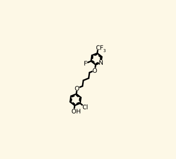 Oc1ccc(OCCCCOc2ncc(C(F)(F)F)cc2F)cc1Cl